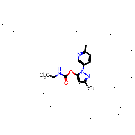 Cc1ccc(-n2nc(C(C)(C)C)cc2OC(=O)NCC(Cl)(Cl)Cl)cn1